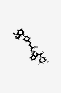 C[C@@H]1CN(C(=O)c2nn(CC(O)CCC3CCN(c4cccc5c4cnn5C)CC3)c3c2CCC3)C[C@H](C)O1